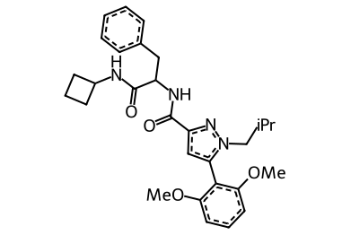 COc1cccc(OC)c1-c1cc(C(=O)NC(Cc2ccccc2)C(=O)NC2CCC2)nn1CC(C)C